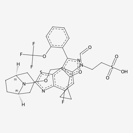 O=CN(CCS(=O)(=O)O)c1cc(F)c2nc(N3[C@@H]4CC[C@H]3CC(OCc3c(-c5ccccc5OC(F)(F)F)noc3C3CC3)C4)sc2c1